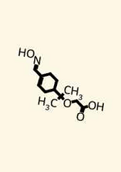 CC(C)(OCC(=O)O)C1CC=C(C=NO)CC1